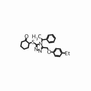 CCc1ccc(OCc2nnc(SC3CCCCC3=O)n2C(C)c2ccccc2)cc1